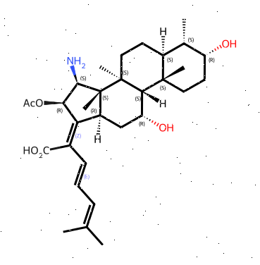 CC(=O)O[C@@H]1/C(=C(/C=C/C=C(C)C)C(=O)O)[C@@H]2C[C@@H](O)[C@H]3[C@@]4(C)CC[C@@H](O)[C@@H](C)[C@@H]4CC[C@]3(C)[C@@]2(C)[C@@H]1N